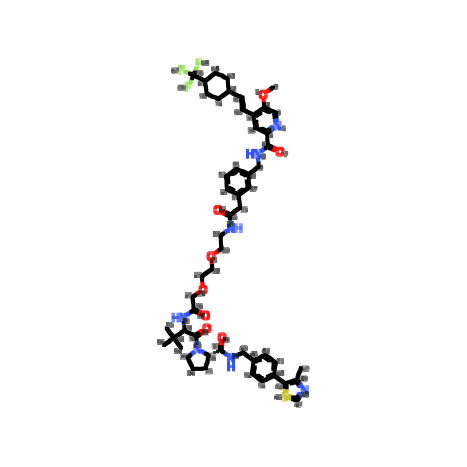 COc1cnc(C(=O)NCc2cccc(CC(=O)NCCOCCOCC(=O)NC(C(=O)N3CCC[C@H]3C(=O)NCc3ccc(-c4scnc4C)cc3)C(C)(C)C)c2)cc1/C=C/C1CCC(C(F)(F)F)CC1